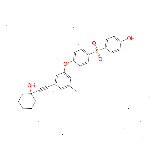 Cc1cc(C#CC2(O)CCCCC2)cc(Oc2ccc(S(=O)(=O)c3ccc(O)cc3)cc2)c1